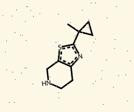 CC1(c2nc3c(s2)CNCC3)CC1